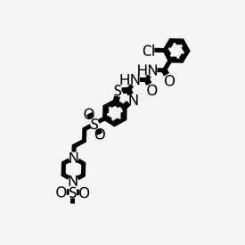 CS(=O)(=O)N1CCN(CCCS(=O)(=O)c2ccc3nc(NC(=O)NC(=O)c4ccccc4Cl)sc3c2)CC1